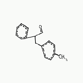 Cc1ccc(CC(C=O)c2ccccc2)cc1